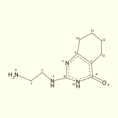 NCCNc1nc2c(c(=O)[nH]1)CCCC2